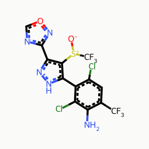 Nc1c(C(F)(F)F)cc(Cl)c(-c2[nH]nc(-c3ncon3)c2[S+]([O-])C(F)(F)F)c1Cl